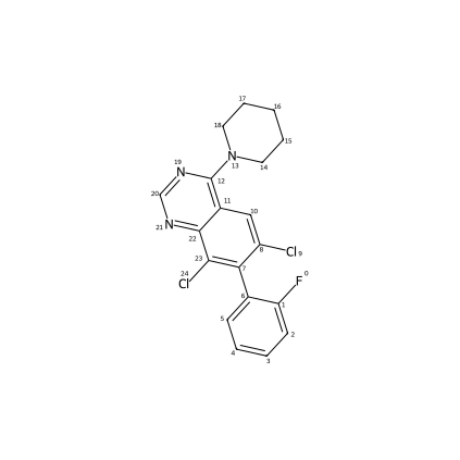 Fc1ccccc1-c1c(Cl)cc2c(N3CCCCC3)ncnc2c1Cl